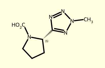 Cn1nnc([C@@H]2CCCN2C(=O)O)n1